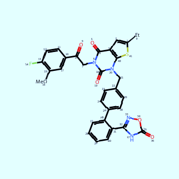 CCc1cc2c(=O)n(CC(=O)c3ccc(F)c(OC)c3)c(=O)n(Cc3ccc(-c4ccccc4-c4noc(=O)[nH]4)cc3)c2s1